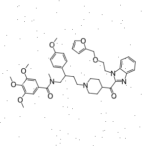 COc1ccc(C(CCN2CCC(C(=O)c3nc4ccccc4n3CCOCc3ccco3)CC2)CN(C)C(=O)c2cc(OC)c(OC)c(OC)c2)cc1